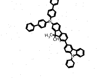 CC1(C)c2cc(-c3ccc4c(c3)c3ccccc3n4C3C=CC=CC3)ccc2-c2ccc(N(c3ccc(-c4ccccc4)cc3)c3ccc(-c4ccccc4)cc3)cc21